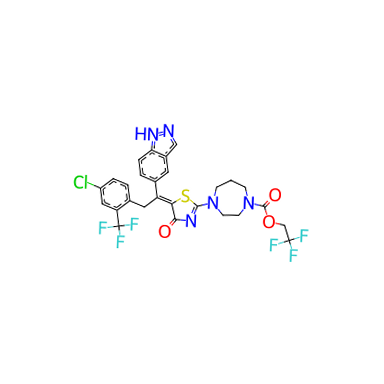 O=C1N=C(N2CCCN(C(=O)OCC(F)(F)F)CC2)SC1=C(Cc1ccc(Cl)cc1C(F)(F)F)c1ccc2[nH]ncc2c1